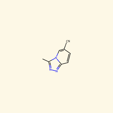 Cc1nnc2ccc(C#N)cn12